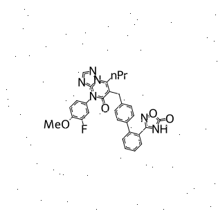 CCCc1c(Cc2ccc(-c3ccccc3-c3noc(=O)[nH]3)cc2)c(=O)n(-c2ccc(OC)c(F)c2)c2ncnn12